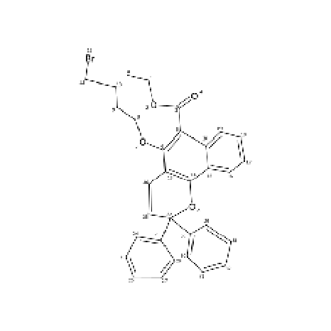 CCOC(=O)c1c(OCCCCBr)c2c(c3ccccc13)OC(c1ccccc1)(c1ccccc1)C=C2